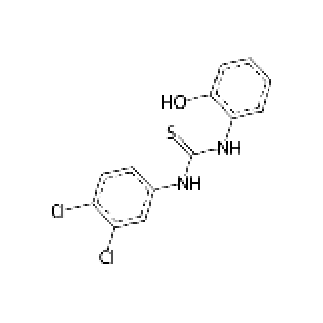 Oc1ccccc1NC(=S)Nc1ccc(Cl)c(Cl)c1